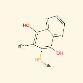 CCCc1c(PC(C)CC)c(O)c2ccccc2c1O